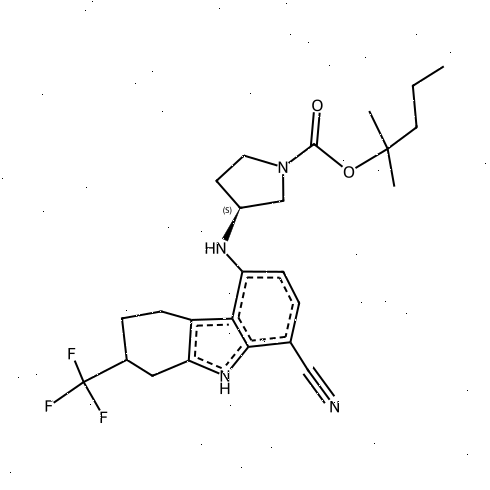 CCCC(C)(C)OC(=O)N1CC[C@H](Nc2ccc(C#N)c3[nH]c4c(c23)CCC(C(F)(F)F)C4)C1